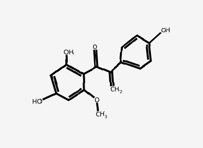 C=C(C(=O)c1c(O)cc(O)cc1OC)c1ccc(O)cc1